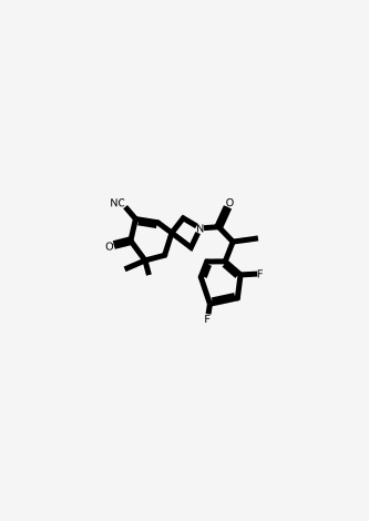 CC(C(=O)N1CC2(C=C(C#N)C(=O)C(C)(C)C2)C1)c1ccc(F)cc1F